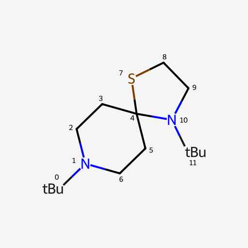 CC(C)(C)N1CCC2(CC1)SCCN2C(C)(C)C